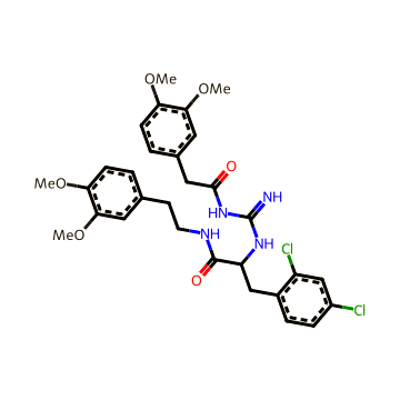 COc1ccc(CCNC(=O)C(Cc2ccc(Cl)cc2Cl)NC(=N)NC(=O)Cc2ccc(OC)c(OC)c2)cc1OC